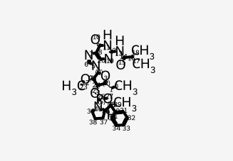 CC[C@H]1O[C@@H](n2cnc3c(=O)[nH]c(NC(=O)C(C)C)nc32)[C@@H](OC)C1O[P@]1O[C@@](C)(c2ccccc2)[C@H]2CCCN21